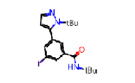 CC(C)(C)NC(=O)c1cc(I)cc(-c2ccnn2C(C)(C)C)c1